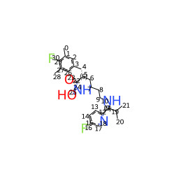 Cc1cc(C[C@H](CCCCN[C@H](c2ccc(F)cn2)C(C)C)C(=O)NO)cc(C)c1F